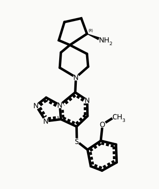 COc1ccccc1Sc1cnc(N2CCC3(CCC[C@H]3N)CC2)n2cnnc12